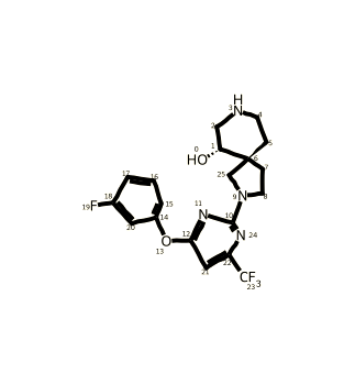 O[C@@H]1CNCC[C@]12CCN(c1nc(Oc3cccc(F)c3)cc(C(F)(F)F)n1)C2